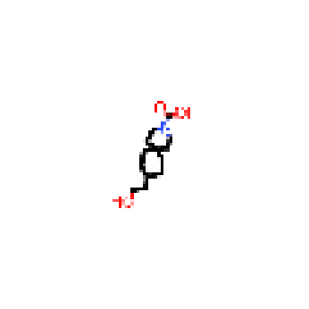 O=C(O)N1CCC2(CCC(CCO)CC2)CC1